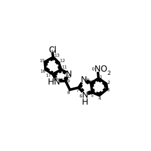 O=[N+]([O-])c1cccc2[nH]c(Cc3nc4cc(Cl)ccc4[nH]3)nc12